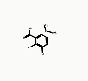 NC(=O)c1cccc(Cl)c1Cl.[SiH3]O[SiH3]